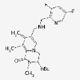 C=C1C(CNCc2ncc(F)cc2F)=CN2CC(CCCC)N(C)C(=O)C2=C1C